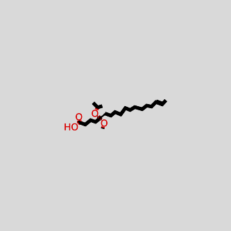 CC=CCCCCCCCCCC[C@](CCCC(=O)O)(OC)OC(C)C